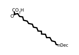 CCCCCCCCCCCCCCCCCCCCCCCCCCCCC(=O)C(=O)O